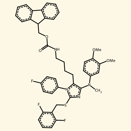 COc1ccc(N(C)c2nc(SCc3c(F)cccc3F)n(-c3ccc(F)cc3)c2CCCCNC(=O)OCC2c3ccccc3-c3ccccc32)cc1OC